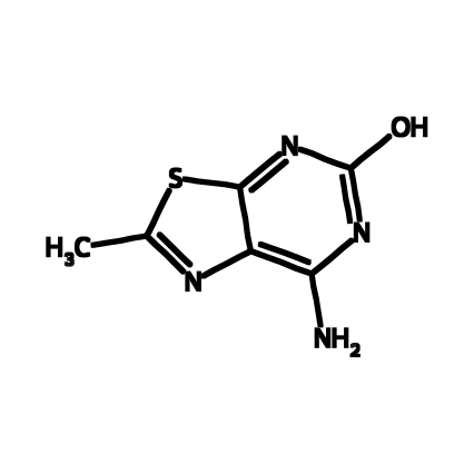 Cc1nc2c(N)nc(O)nc2s1